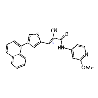 COc1cc(NC(=O)/C(C#N)=C/c2cc(-c3cccc4ccccc34)cs2)ccn1